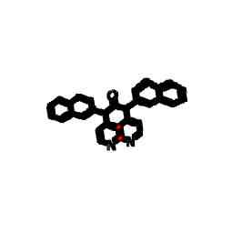 O=C(C(c1ccncc1)c1ccc2ccccc2c1)C(c1ccncc1)c1ccc2ccccc2c1